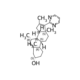 CC1=C(c2ncccn2)[C@@]2(C)CC[C@H]3[C@@H]([C@@H](C)C=C4C[C@@H](O)CC[C@@]43C)[C@@H]2C1